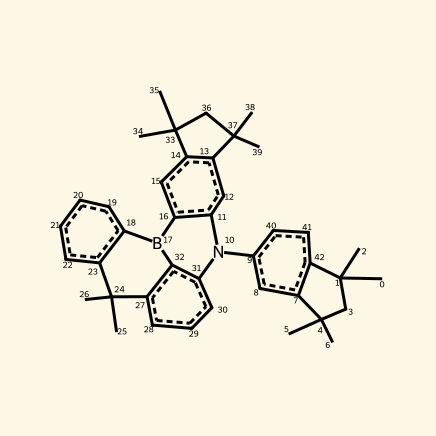 CC1(C)CC(C)(C)c2cc(N3c4cc5c(cc4B4c6ccccc6C(C)(C)c6cccc3c64)C(C)(C)CC5(C)C)ccc21